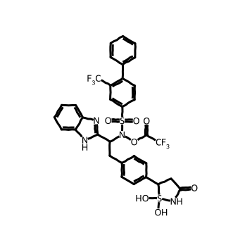 O=C1CC(c2ccc(CC(c3nc4ccccc4[nH]3)N(OC(=O)C(F)(F)F)S(=O)(=O)c3ccc(-c4ccccc4)c(C(F)(F)F)c3)cc2)S(O)(O)N1